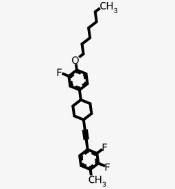 CCCCCCCOc1ccc(C2CCC(C#Cc3ccc(C)c(F)c3F)CC2)cc1F